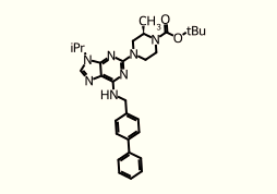 CC(C)n1cnc2c(NCc3ccc(-c4ccccc4)cc3)nc(N3CCN(C(=O)OC(C)(C)C)[C@H](C)C3)nc21